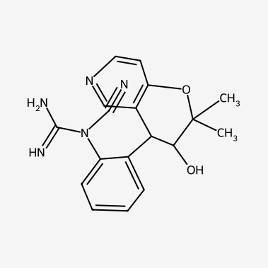 CC1(C)Oc2ccncc2C(c2ccccc2N(C#N)C(=N)N)C1O